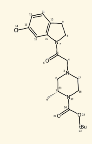 C[C@@H]1CN(CC(=O)N2CCc3ccc(Cl)cc32)CCN1C(=O)OC(C)(C)C